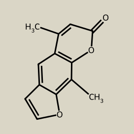 Cc1cc(=O)oc2c(C)c3occc3cc12